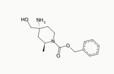 C[C@H]1C[C@@](N)(CO)CCN1C(=O)OCc1ccccc1